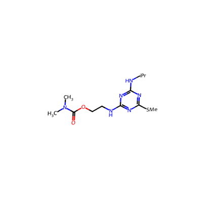 CSc1nc(NCCOC(=O)N(C)C)nc(NC(C)C)n1